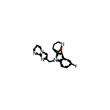 Fc1ccc2c(c1)c1c(n2Cc2cn3cccnc3n2)C2CCN(CC2)C1